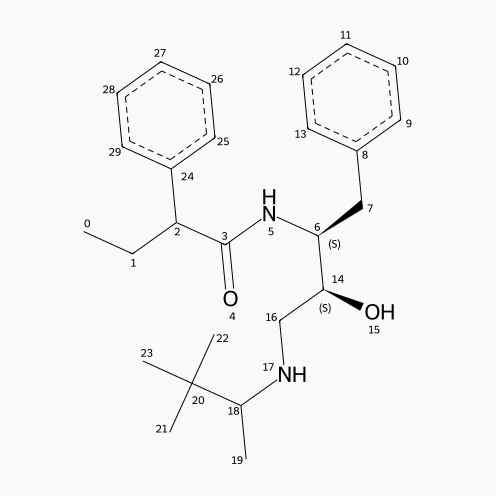 CCC(C(=O)N[C@@H](Cc1ccccc1)[C@@H](O)CNC(C)C(C)(C)C)c1ccccc1